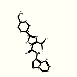 O=C(Nc1cnn2cccnc12)c1sc(C2CCC(CO)CC2)nc1C(F)F